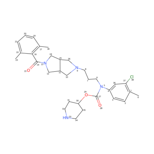 Cc1ccc(N(CCCN2CC3CN(C(=O)c4c(C)cccc4C)CC3C2)C(=O)OC2CCNCC2)cc1Cl